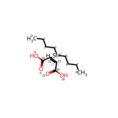 CCC[CH2][SnH2][CH2]CCC.O=C(O)/C=C\C(=O)O